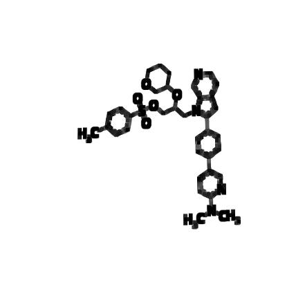 Cc1ccc(S(=O)(=O)OCC(Cn2c(-c3ccc(-c4ccc(N(C)C)nc4)cc3)cc3ccncc32)OC2CCCOC2)cc1